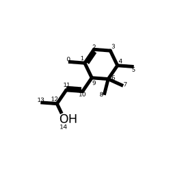 CC1=CCC(C)C(C)(C)C1C=CC(C)O